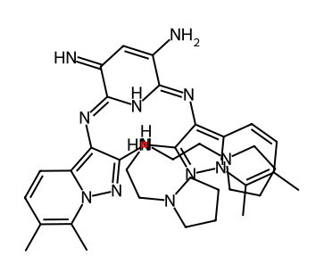 Cc1ccc2c(/N=C3\N/C(=N\c4c(NCCN5CCCC5)nn5c(C)c(C)ccc45)C(N)=CC3=N)c(NCCN3CCCC3)nn2c1C